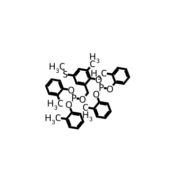 CSc1cc(C)c(OP(Oc2ccccc2C)Oc2ccccc2C)c(COP(Oc2ccccc2C)Oc2ccccc2C)c1